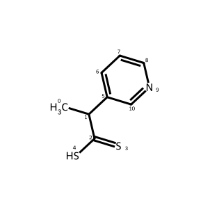 CC(C(=S)S)c1cccnc1